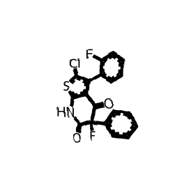 O=C1Nc2sc(Cl)c(-c3ccccc3F)c2C(=O)C1(F)c1ccccc1